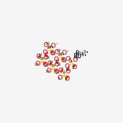 O=S(=O)([O-])OOS(=O)(=O)[O-].O=S(=O)([O-])OOS(=O)(=O)[O-].O=S(=O)([O-])OOS(=O)(=O)[O-].[Ru+3].[Ru+3]